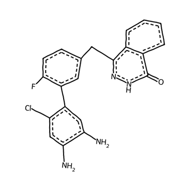 Nc1cc(Cl)c(-c2cc(Cc3n[nH]c(=O)c4ccccc34)ccc2F)cc1N